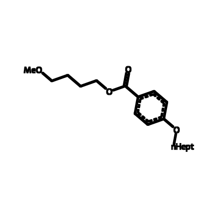 CCCCCCCOc1ccc(C(=O)OCCCCOC)cc1